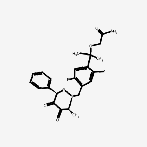 C[C@H]1C(=O)C(=O)[C@@H](c2ccccc2)SN1Cc1cc(F)c(C(C)(C)OCC(N)=O)cc1F